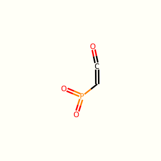 O=C=CP(=O)=O